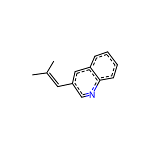 CC(C)=Cc1cnc2ccccc2c1